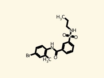 CCCNS(=O)(=O)c1cccc(C(=O)Nc2ccc(Br)cc2C)c1